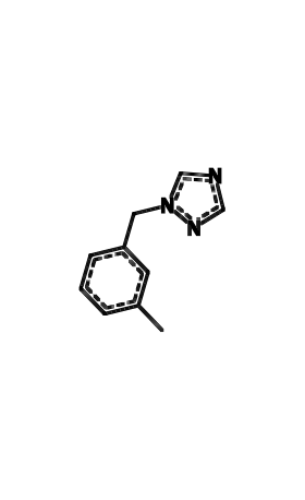 Cc1cccc(Cn2cncn2)c1